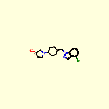 O[C@@H]1CCN(C2CCC(Cn3ncc4c(Br)cccc43)CC2)C1